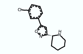 Clc1cccc(-c2cc([C@H]3CCCCN3)no2)c1